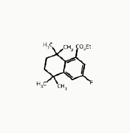 CCOC(=O)c1[c]c(F)cc2c1C(C)(C)CCC2(C)C